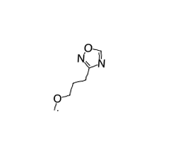 [CH2]OCCCc1ncon1